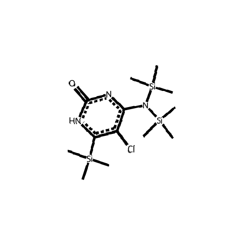 C[Si](C)(C)c1[nH]c(=O)nc(N([Si](C)(C)C)[Si](C)(C)C)c1Cl